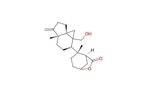 C=C1CC[C@@]23CC2(CO)[C@@H]([C@@]2(C)CCC4C[C@@H]2C(=O)O4)CC[C@]13C